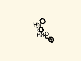 O=C(CN1CC2CCC1CC2)Nc1ccc(NC2CCCCC2)nc1